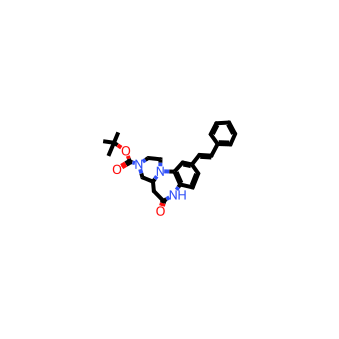 CC(C)(C)OC(=O)N1CCN2c3cc(C=Cc4ccccc4)ccc3NC(=O)CC2C1